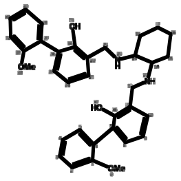 COc1ccccc1-c1cccc(CNC2CCCCC2NCc2cccc(-c3ccccc3OC)c2O)c1O